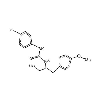 COc1ccc(CC(CO)NC(=O)Nc2ccc(F)cc2)cc1